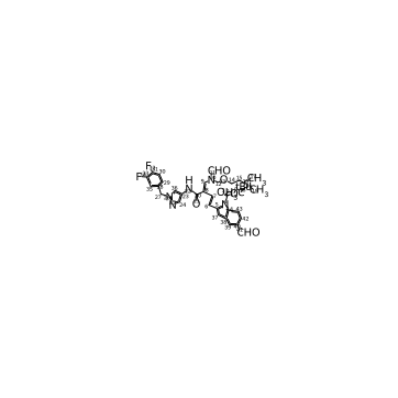 CC(C)(C)OC(=O)n1c(/C=C/C(=C\N(C=O)COCC[Si](C)(C)C)C(=O)Nc2cnn(Cc3ccc(F)c(F)c3)c2)cc2cc(C=O)ccc21